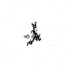 O=C(NCc1ccc(F)c(F)c1)c1ccc(-c2c(C(=O)O)c(CCc3ccc(F)cc3)nc3c2C(=O)N2CCC[C@@H]32)s1